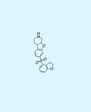 O=S(=O)(c1ccc2c(c1)OC1CNCCC21)c1cccc2c1CCO2